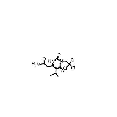 CC(C)c1c(CC(N)=O)[nH]c(=O)n(CC(Cl)(Cl)Cl)c1=N